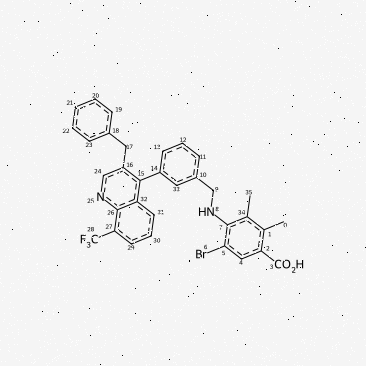 Cc1c(C(=O)O)cc(Br)c(NCc2cccc(-c3c(Cc4ccccc4)cnc4c(C(F)(F)F)cccc34)c2)c1C